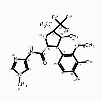 COc1c([C@H]2[C@H](C(=O)Nc3cn(C)cn3)O[C@@](C)(C(F)(F)F)[C@H]2C)ccc(F)c1F